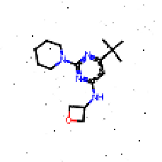 CC(C)(C)c1cc(NC2COC2)nc(N2CCCCC2)n1